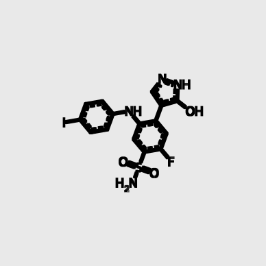 NS(=O)(=O)c1cc(Nc2ccc(I)cc2)c(-c2cn[nH]c2O)cc1F